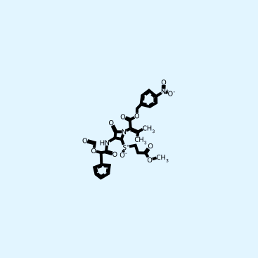 COC(=O)CC[S+]([O-])C1C(NC(=O)C(OC=O)c2ccccc2)C(=O)N1C(C(=O)OCc1ccc([N+](=O)[O-])cc1)=C(C)C